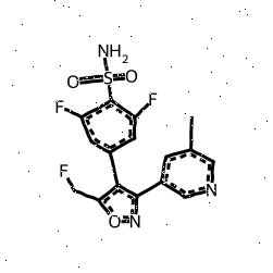 Cc1cncc(-c2noc(CF)c2-c2cc(F)c(S(N)(=O)=O)c(F)c2)c1